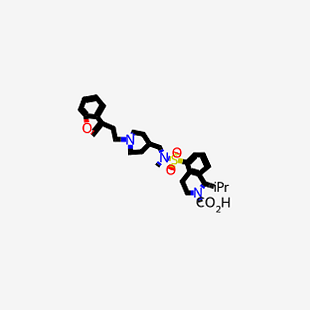 CC(C)C1c2cccc(S(=O)(=O)N(C)CC3CCN(CCc4coc5ccccc45)CC3)c2CCN1C(=O)O